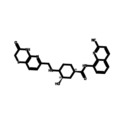 N#Cc1ccc2cccc(NC(=O)[C@@H]3CCC(NCc4ccc5c(n4)NC(=O)CS5)[C@@H](O)C3)c2n1